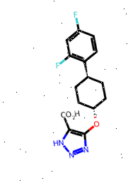 O=C(O)c1[nH]nnc1O[C@H]1CC[C@H](c2ccc(F)cc2F)CC1